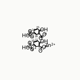 O=C([O-])c1cc(S(=O)(=O)O)ccc1O.O=C([O-])c1cc(S(=O)(=O)O)ccc1O.[Zn+2]